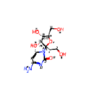 Nc1ccn([C@]2(CCO)O[C@H](CO)[C@@H](O)[C@H]2O)c(=O)n1